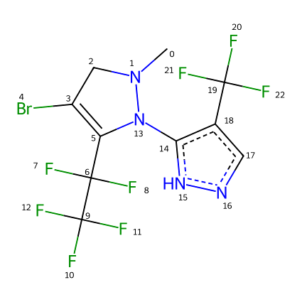 CN1CC(Br)=C(C(F)(F)C(F)(F)F)N1c1[nH]ncc1C(F)(F)F